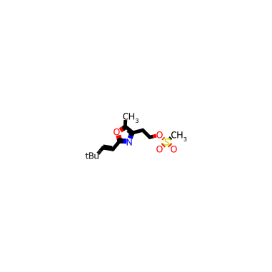 Cc1oc(C=CC(C)(C)C)nc1CCOS(C)(=O)=O